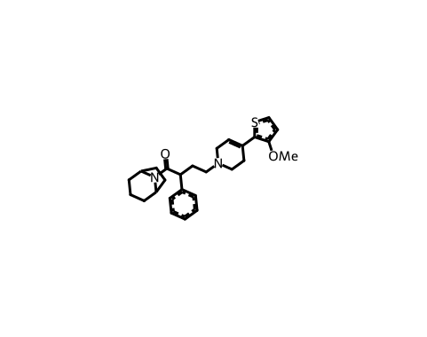 COc1ccsc1C1=CCN(CCC(C(=O)N2C3CCCC2CC3)c2ccccc2)CC1